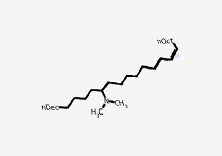 CCCCCCCC/C=C\CCCCCCCC(CCCCCCCCCCCCCC)N(C)C